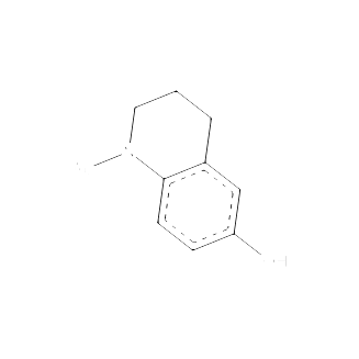 CC(=O)N1CCCc2cc(O)ccc21